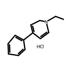 CCN1C=CC(c2ccccc2)=CC1.Cl